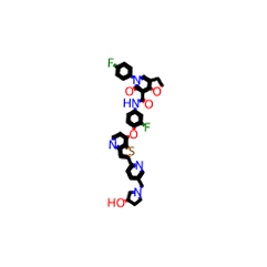 O=C(Nc1ccc(Oc2ccnc3cc(-c4ccc(CN5CCC(O)C5)cn4)sc23)c(F)c1)c1c2c(cn(-c3ccc(F)cc3)c1=O)CCO2